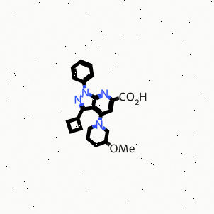 COC1CCCN(c2cc(C(=O)O)nc3c2c(C2CCC2)nn3-c2ccccc2)C1